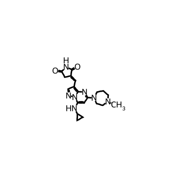 CN1CCCN(c2cc(NC3CC3)n3ncc(/C=C4\CC(=O)NC4=O)c3n2)CC1